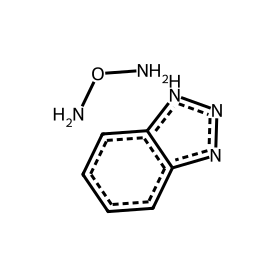 NON.c1ccc2[nH]nnc2c1